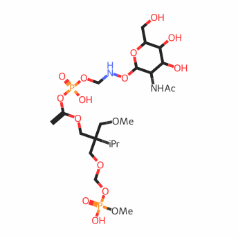 C=C(OCC(COC)(COCOP(=O)(O)OC)C(C)C)OP(=O)(O)OCNOC1OC(CO)C(O)C(O)C1NC(C)=O